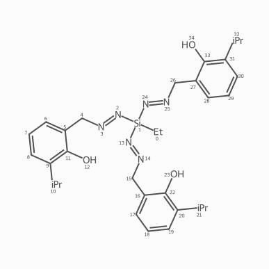 CC[Si](/N=N/Cc1cccc(C(C)C)c1O)(/N=N/Cc1cccc(C(C)C)c1O)/N=N/Cc1cccc(C(C)C)c1O